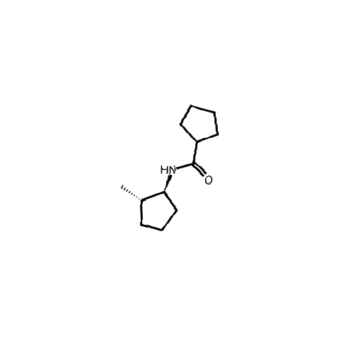 C[C@H]1CCC[C@@H]1NC(=O)C1CCCC1